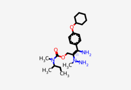 CCC(C)N(C)C(=O)OC/C(=C(/N)c1ccc(OC2CCCCC2)cc1)N(C)N